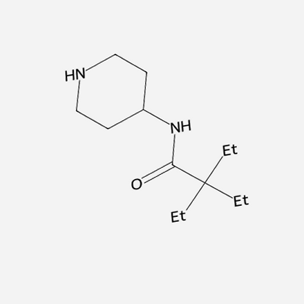 CCC(CC)(CC)C(=O)NC1CCNCC1